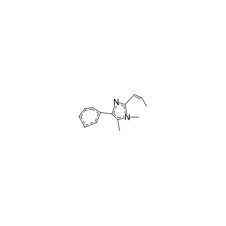 C/C=C\c1nc(-c2ccccc2)c(C)n1C